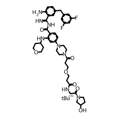 CC(C)(C)[C@H](NC(=O)CCOCCC(=O)N1CCN(c2ccc(C(=O)NC(=N)c3cc(Cc4cc(F)cc(F)c4)ccc3N)c(NC3CCOCC3)c2)CC1)C(=O)N1CCC(O)C1